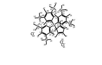 CC1=C(C)[C]([Ti+3])([Si](c2cc([Si](C)(C)C)c(C)c([Si](C)(C)C)c2C)(c2cc([Si](C)(C)C)c(C)c([Si](C)(C)C)c2C)c2cc([Si](C)(C)C)c(C)c([Si](C)(C)C)c2C)C(C)=C1C.[Cl-].[Cl-].[Cl-]